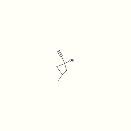 C#CC1(O)CC(C)C1